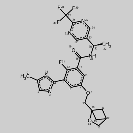 Cc1cnc(-c2cc(OCC34CC(CO3)C4)cc(C(=O)N[C@H](C)c3cnc(C(F)(F)F)nc3)c2F)s1